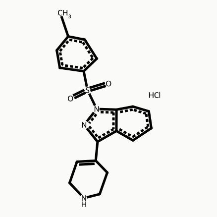 Cc1ccc(S(=O)(=O)n2nc(C3=CCNCC3)c3ccccc32)cc1.Cl